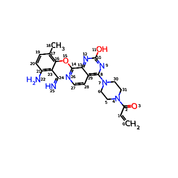 C=CC(=O)N1CCN(c2nc(O)nc3c(Oc4c(C)ccc(N)c4C=N)nccc23)CC1